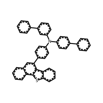 c1ccc(-c2ccc(N(c3ccc(-c4cc5ccccc5c5sc6ccccc6c45)cc3)c3cccc(-c4ccccc4)c3)cc2)cc1